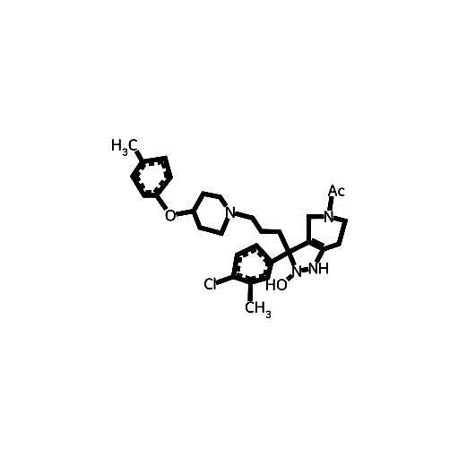 CC(=O)N1CCC2=C(C1)C(CCCN1CCC(Oc3ccc(C)cc3)CC1)(c1ccc(Cl)c(C)c1)N(O)N2